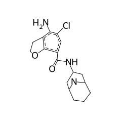 CN1C2CCCC1CC(NC(=O)c1cc(Cl)c(N)c3c1OCC3)C2